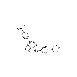 NC(=O)c1ccc(-c2cnc(Nc3ccc(N4CCOCC4)nc3)c3nccn23)cc1